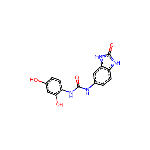 O=C(Nc1ccc2[nH]c(=O)[nH]c2c1)Nc1ccc(O)cc1O